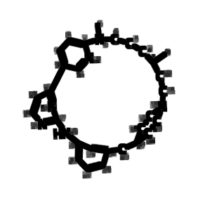 CC1CCCN(C)c2ccc(cn2)-c2ccnc(n2)Nc2cccc(c2)CC2CCN(CC1)CC2